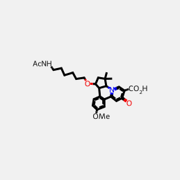 COc1ccc2c(c1)-c1cc(=O)c(C(=O)O)cn1C1C2C(OCCCCCCNC(C)=O)CC1(C)C